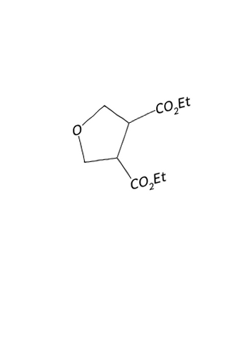 CCOC(=O)C1COCC1C(=O)OCC